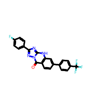 O=c1c2ccc(-c3ccc(C(F)(F)F)cc3)cc2[nH]c2nc(-c3ccc(F)cc3)nn12